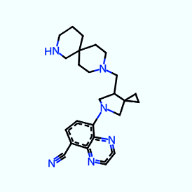 N#Cc1ccc(N2CC(CN3CCC4(CCCNC4)CC3)C3(CC3)C2)c2nccnc12